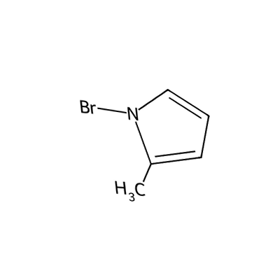 Cc1cccn1Br